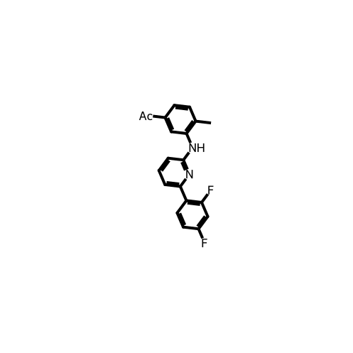 CC(=O)c1ccc(C)c(Nc2cccc(-c3ccc(F)cc3F)n2)c1